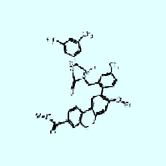 CCOc1cc(F)c(-c2ccc(C(=O)OC)cc2F)cc1-c1ccc(C(F)(F)F)cc1CN1C(=O)O[C@H](c2cc(C(F)(F)F)cc(C(F)(F)F)c2)[C@@H]1C